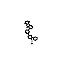 C1=CC2=C(CC1)C1=CC(C3=CC(C4CC=Cc5c4sc4ccccc54)CC=C3)=CCC1N2